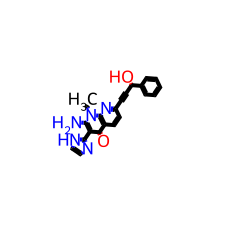 CCn1c(N)c(-c2ncc[nH]2)c(=O)c2ccc(C#CC(O)c3ccccc3)nc21